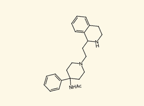 CC(=O)NC1(c2ccccc2)CCN(CCC2NCCc3ccccc32)CC1